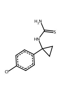 NC(=S)NC1(c2ccc(Cl)cc2)CC1